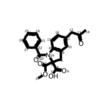 COC(=O)C1(C(=O)O)Cc2cc(CC(C)=O)ccc2N1C(=O)c1ccccc1